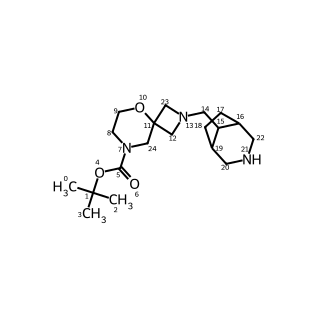 CC(C)(C)OC(=O)N1CCOC2(CN(CC3C4CCC3CNC4)C2)C1